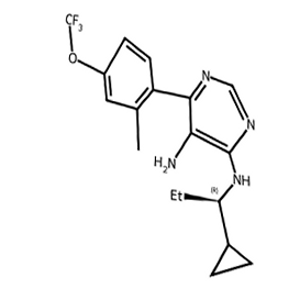 CC[C@@H](Nc1ncnc(-c2ccc(OC(F)(F)F)cc2C)c1N)C1CC1